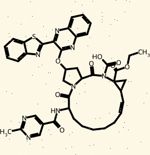 CCOC(=O)C12CC1C=CCCCCCC(NC(=O)c1cnc(C)nc1)C(=O)N1CC(Oc3nc4ccccc4nc3-c3nc4ccccc4s3)CC1C(=O)N2C(=O)O